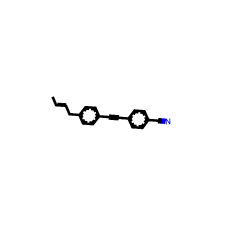 CC=CCc1ccc(C#Cc2ccc(C#N)cc2)cc1